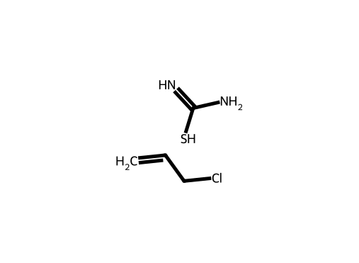 C=CCCl.N=C(N)S